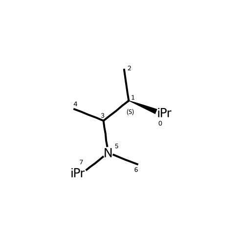 CC(C)[C@H](C)C(C)N(C)C(C)C